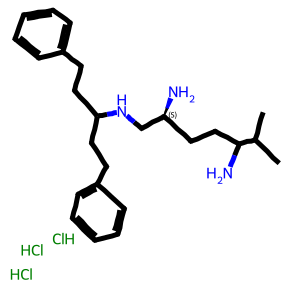 CC(C)C(N)CC[C@H](N)CNC(CCc1ccccc1)CCc1ccccc1.Cl.Cl.Cl